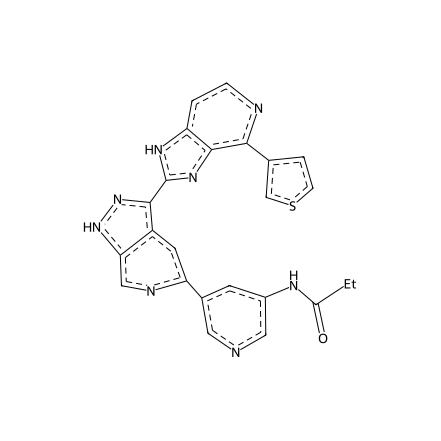 CCC(=O)Nc1cncc(-c2cc3c(-c4nc5c(-c6ccsc6)nccc5[nH]4)n[nH]c3cn2)c1